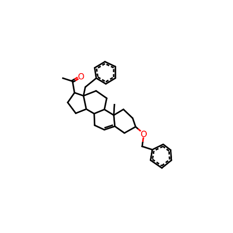 CC(=O)C1CCC2C3CC=C4CC(OCc5ccccc5)CCC4(C)C3CCC12Cc1ccccc1